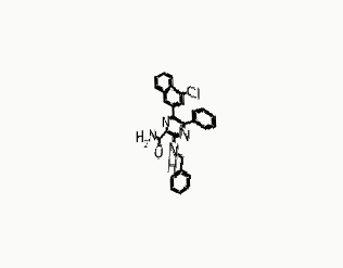 NC(=O)c1nc(-c2cc(Cl)c3ccccc3c2)c(-c2ccccc2)nc1NCc1ccccc1